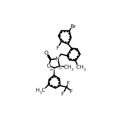 Cc1cc([C@H]2OC(=O)N(Cc3cc(C)ccc3-c3cc(Br)ccc3F)[C@H]2C)cc(C(F)(F)F)c1